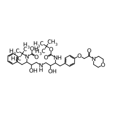 CC(C)(C)OC(=O)NC(Cc1ccc(OCC(=O)N2CCOCC2)cc1)C(O)CNCC(O)C(Cc1ccccc1)N(C(=O)O)C(C)(C)C